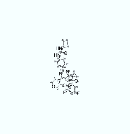 C[C@H]1COCCN1c1cc(C2(S(=O)(=O)c3cc(F)cc(F)c3)CC2)nc(-c2ccc(NC(=O)NC3CCC3)cc2)n1